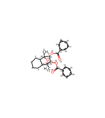 C[C@]12O[C@](C)(C3CCCCC31)[C@@H](OC(=O)c1ccccc1)[C@H]2OC(=O)c1ccccc1